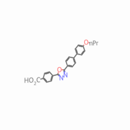 CCCOc1ccc(-c2ccc(-c3nnc(-c4ccc(C(=O)O)cc4)o3)cc2)cc1